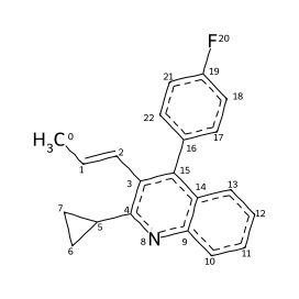 C/C=C/c1c(C2CC2)nc2ccccc2c1-c1ccc(F)cc1